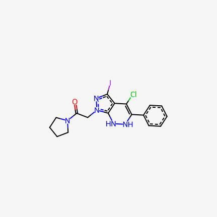 O=C(Cn1nc(I)c2c1NNC(c1ccccc1)=C2Cl)N1CCCC1